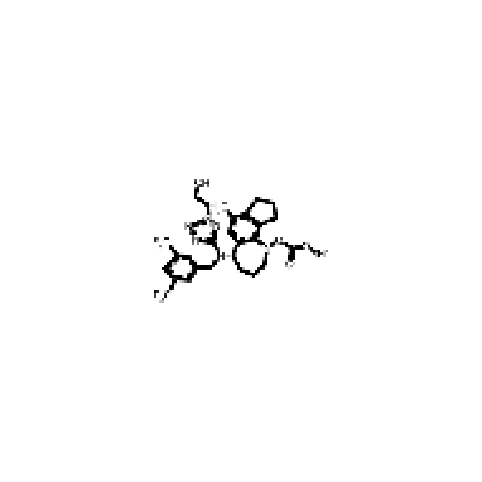 Cc1cc2c(c3c1CCC3)N(OC(=O)OC(C)C)CCC[C@@H]2N(Cc1cc(C(F)(F)F)cc(C(F)(F)F)c1)c1nnn(CCO)n1